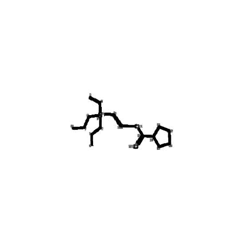 CCC[N+](CC)(CCC)CCOC(=O)C1CCCC1